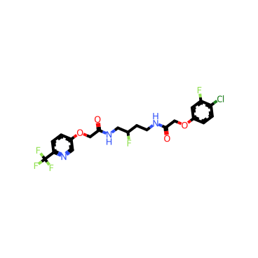 O=C(COc1ccc(Cl)c(F)c1)NCCC(F)CNC(=O)COc1ccc(C(F)(F)F)nc1